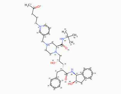 CC(=O)CCC[n+]1cccc(CN2CCN(C[C@@H](O)C[C@@H](Cc3ccccc3)C(=O)N[C@H]3c4ccccc4C[C@H]3O)[C@H](C(=O)NC(C)(C)C)C2)c1